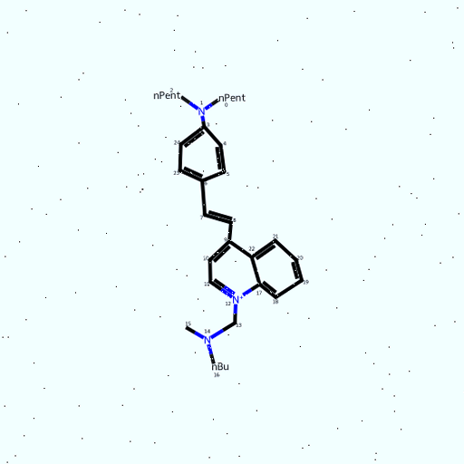 CCCCCN(CCCCC)c1ccc(C=Cc2cc[n+](CN(C)CCCC)c3ccccc23)cc1